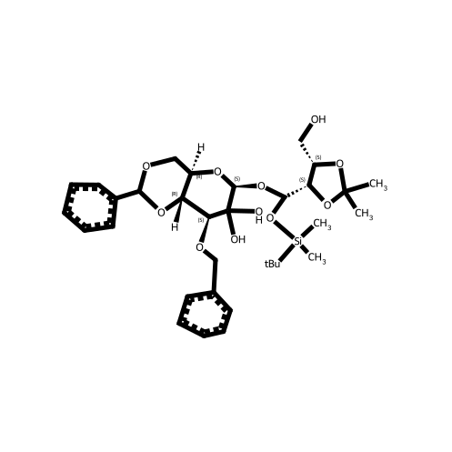 CC1(C)O[C@@H](CO)[C@@H](C(O[C@@H]2O[C@@H]3COC(c4ccccc4)O[C@H]3[C@H](OCc3ccccc3)C2(O)O)O[Si](C)(C)C(C)(C)C)O1